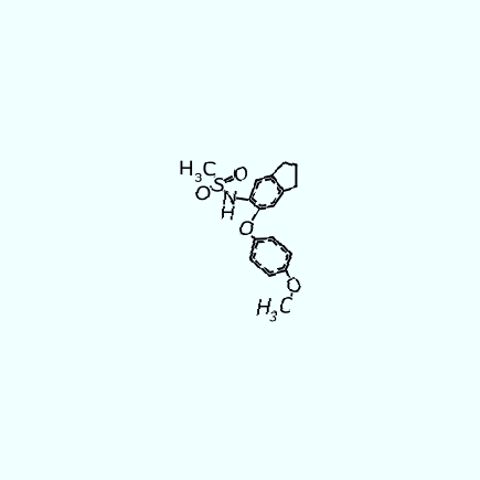 COc1ccc(Oc2cc3c(cc2NS(C)(=O)=O)CCC3)cc1